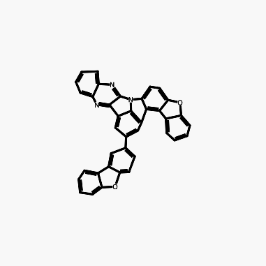 c1ccc2nc3c(nc2c1)c1cc(-c2ccc4oc5ccccc5c4c2)cc2c4c5c(ccc4n3c12)oc1ccccc15